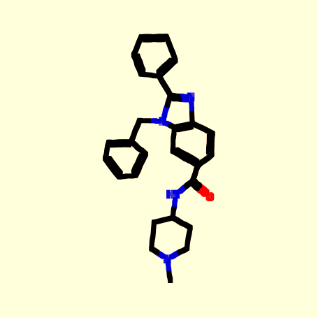 CN1CCC(NC(=O)c2ccc3nc(-c4ccccc4)n(Cc4ccccc4)c3c2)CC1